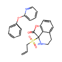 C=CCS(=O)(=O)C1(C(=O)O)NCCc2ccccc21.c1ccc(Oc2ccccn2)cc1